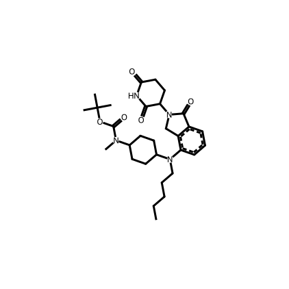 CCCCCN(c1cccc2c1CN(C1CCC(=O)NC1=O)C2=O)C1CCC(N(C)C(=O)OC(C)(C)C)CC1